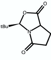 CC(C)(C)[C@H]1OC(=O)C2CCC(=O)N21